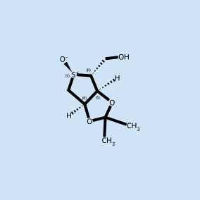 CC1(C)O[C@H]2[C@H](C[S@@+]([O-])[C@@H]2CO)O1